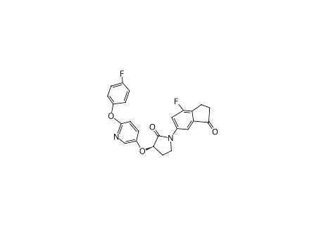 O=C1CCc2c(F)cc(N3CC[C@@H](Oc4ccc(Oc5ccc(F)cc5)nc4)C3=O)cc21